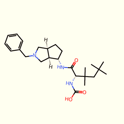 CC(C)(C)CC(C)(C)[C@H](NC(=O)O)C(=O)N[C@H]1CC[C@@H]2CN(Cc3ccccc3)C[C@@H]21